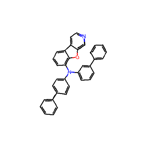 c1ccc(-c2ccc(N(c3cccc(-c4ccccc4)c3)c3cccc4c3oc3cnccc34)cc2)cc1